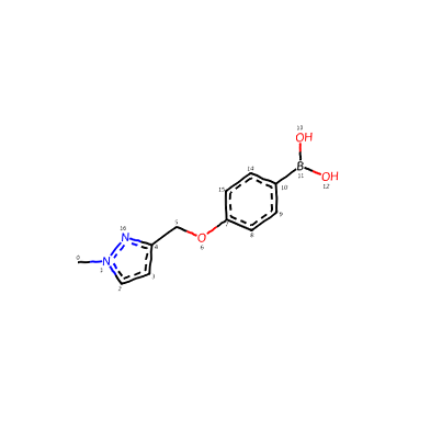 Cn1ccc(COc2ccc(B(O)O)cc2)n1